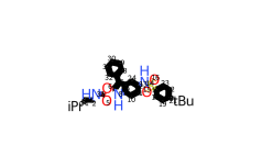 CC(C)CCNC(=O)Oc1[nH]c2ccc(NS(=O)(=O)c3ccc(C(C)(C)C)cc3)cc2c1-c1ccccc1